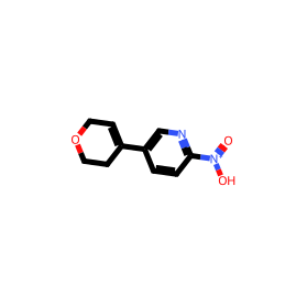 O=[N+](O)c1ccc(C2=CCOCC2)cn1